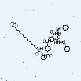 CCCCCCCCCCCCCCNC(=O)C[C@H]1CCCN1C(=O)c1ccc(C(=O)N2C[C@@H](C(=O)N[C@H]3C[C@@H]3c3ccccc3)[C@H](C(=O)N[C@H]3C[C@@H]3c3ccccc3)C2)cc1